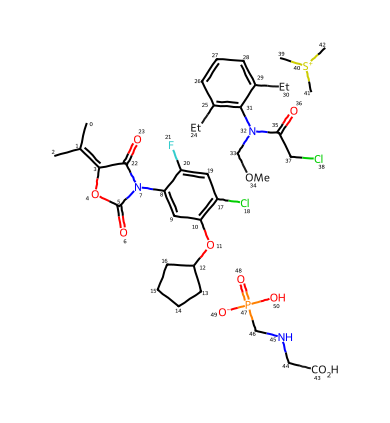 CC(C)=C1OC(=O)N(c2cc(OC3CCCC3)c(Cl)cc2F)C1=O.CCc1cccc(CC)c1N(COC)C(=O)CCl.C[S+](C)C.O=C(O)CNCP(=O)([O-])O